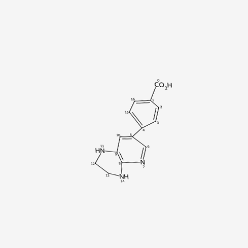 O=C(O)c1ccc(-c2cnc3c(c2)NCCN3)cc1